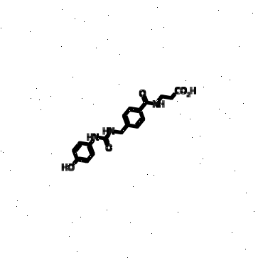 O=C(O)CCNC(=O)c1ccc(CNC(=O)Nc2ccc(O)cc2)cc1